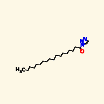 CCCCCCCCCCCCCCCCCC(=O)n1ccnn1